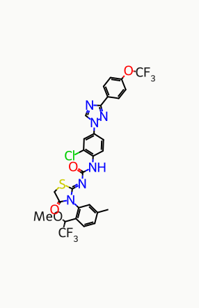 COC(c1ccc(C)cc1N1C(=O)CSC1=NC(=O)Nc1ccc(-n2cnc(-c3ccc(OC(F)(F)F)cc3)n2)cc1Cl)C(F)(F)F